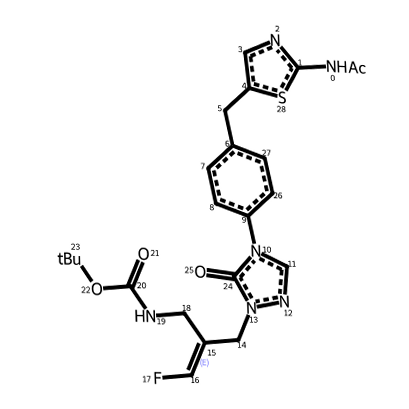 CC(=O)Nc1ncc(Cc2ccc(-n3cnn(C/C(=C/F)CNC(=O)OC(C)(C)C)c3=O)cc2)s1